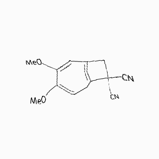 COc1cc2c(cc1OC)C(C#N)(C#N)C2